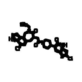 CC(C)(C)CN1Cc2c(cc(Cl)c3[nH]ncc23)CC(CC(=O)N2CCC(c3cc4sc(Cl)cc4[nH]c3=O)CC2)C1=O